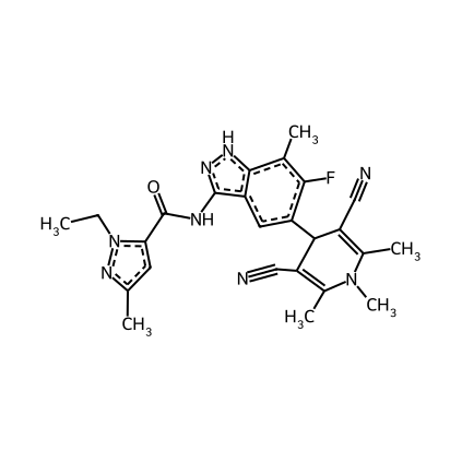 CCn1nc(C)cc1C(=O)Nc1n[nH]c2c(C)c(F)c(C3C(C#N)=C(C)N(C)C(C)=C3C#N)cc12